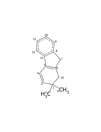 CC1(C)C=CC2=C([CH]c3ccccc32)C1